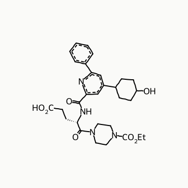 CCOC(=O)N1CCN(C(=O)[C@H](CCC(=O)O)NC(=O)c2cc(C3CCC(O)CC3)cc(-c3ccccc3)n2)CC1